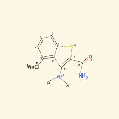 COc1cccc2sc(C(N)=O)c(N(C)C)c12